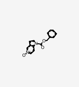 O=C(OCc1ccccc1)n1ccc2c[n+]([O-])ccc21